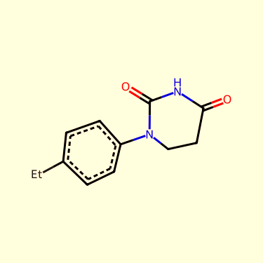 CCc1ccc(N2CCC(=O)NC2=O)cc1